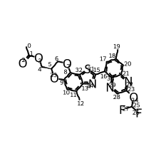 CC(=O)OC[C@H]1COc2c(cc(C)c3nc(-c4cc(C)cc5nc(OC(F)F)cnc45)sc23)O1